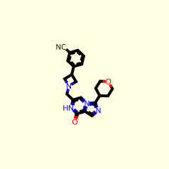 N#Cc1cccc(C2CN(Cc3cn4c(C5CCOCC5)ncc4c(=O)[nH]3)C2)c1